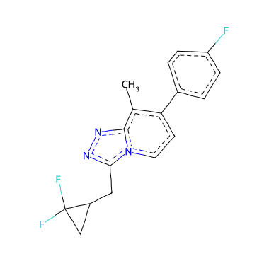 Cc1c(-c2ccc(F)cc2)ccn2c(CC3CC3(F)F)nnc12